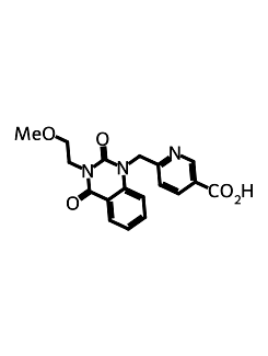 COCCn1c(=O)c2ccccc2n(Cc2ccc(C(=O)O)cn2)c1=O